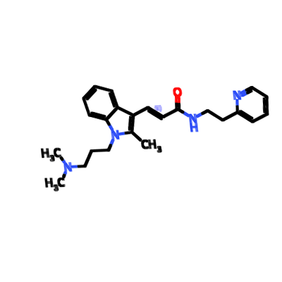 Cc1c(/C=C/C(=O)NCCc2ccccn2)c2ccccc2n1CCCN(C)C